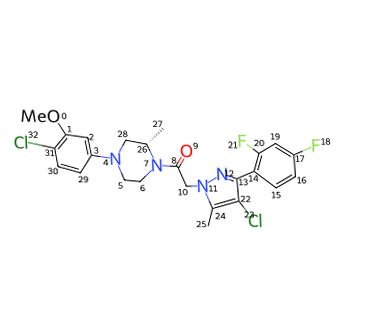 COc1cc(N2CCN(C(=O)Cn3nc(-c4ccc(F)cc4F)c(Cl)c3C)[C@@H](C)C2)ccc1Cl